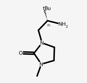 CN1CCN(C[C@@H](N)C(C)(C)C)C1=O